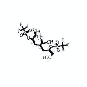 C=C\C(=C/C(=C/C(=C\C)OS(=O)(=O)C(F)(F)F)C(=C)C)OS(=O)(=O)C(F)(F)F